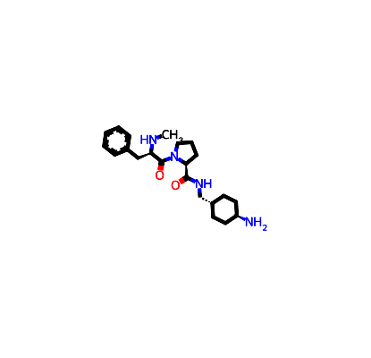 CN[C@H](Cc1ccccc1)C(=O)N1CCC[C@H]1C(=O)NC[C@H]1CC[C@H](N)CC1